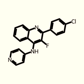 Fc1c(-c2ccc(Cl)cc2)nc2ccccc2c1Nc1ccncc1